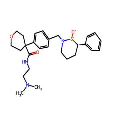 CN(C)CCNC(=O)C1(c2ccc(CN3CCC[C@H](c4ccccc4)[S+]3[O-])cc2)CCOCC1